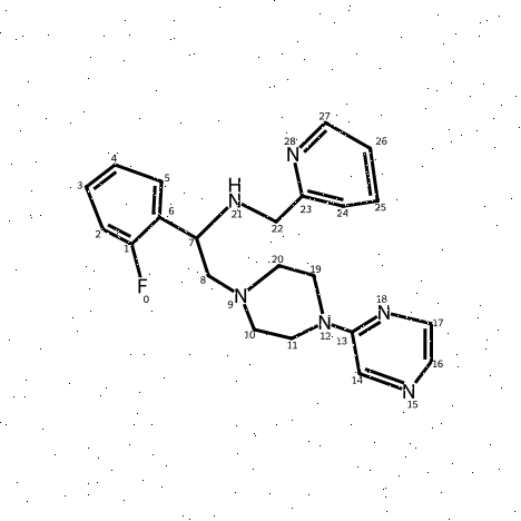 Fc1ccccc1C(CN1CCN(c2cnccn2)CC1)NCc1ccccn1